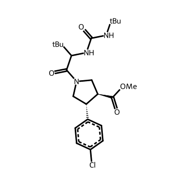 COC(=O)[C@@H]1CN(C(=O)C(NC(=O)NC(C)(C)C)C(C)(C)C)C[C@H]1c1ccc(Cl)cc1